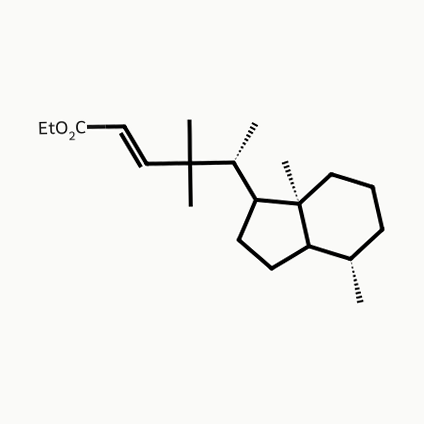 CCOC(=O)/C=C/C(C)(C)[C@H](C)C1CCC2[C@@H](C)CCC[C@]12C